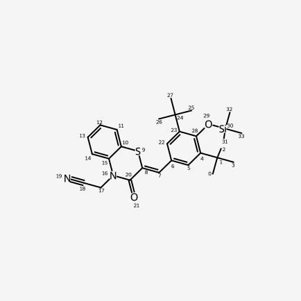 CC(C)(C)c1cc(C=C2Sc3ccccc3N(CC#N)C2=O)cc(C(C)(C)C)c1O[Si](C)(C)C